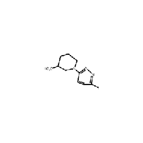 O=C(O)C1CCCN(c2ccc(I)nn2)C1